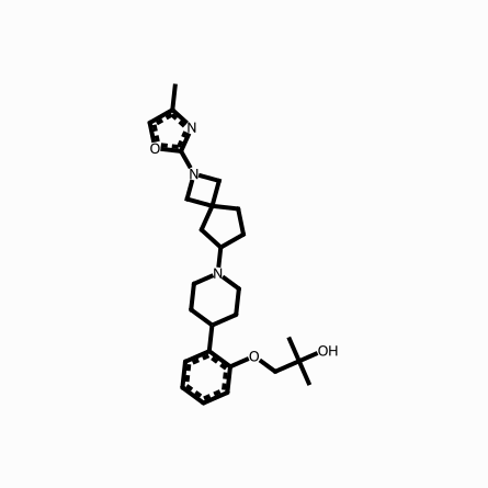 Cc1coc(N2CC3(CCC(N4CCC(c5ccccc5OCC(C)(C)O)CC4)C3)C2)n1